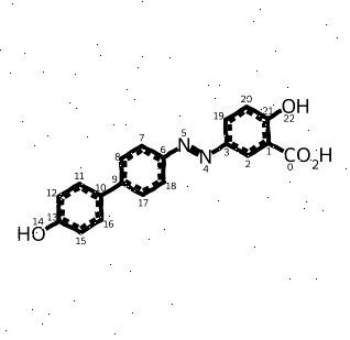 O=C(O)c1cc(/N=N/c2ccc(-c3ccc(O)cc3)cc2)ccc1O